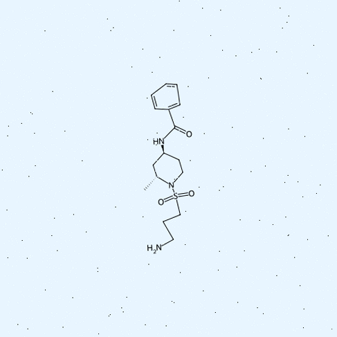 C[C@@H]1C[C@@H](NC(=O)c2ccccc2)CCN1S(=O)(=O)CCCN